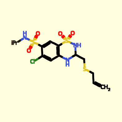 C=CCSCC1Nc2cc(Cl)c(S(=O)(=O)NC(C)C)cc2S(=O)(=O)N1